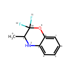 CC1Nc2ccccc2OC1(F)F